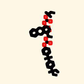 CCC(C)(C)OC(=O)Oc1ccc(C(C)OC(=O)Oc2ccc(C(C)(C)c3ccc(C(C)(CC)CC)cc3)cc2)c2c1C1c3ccccc3C2c2ccccc21